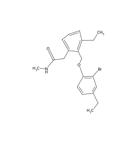 CCc1ccc(OCc2c(CC)cccc2CC(=O)NC)c(Br)c1